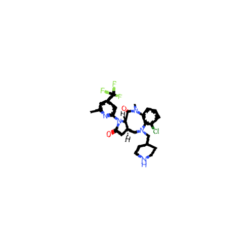 Cc1cc(C(F)(F)F)cc(N2C(=O)C[C@@H]3CN(CC4CCNCC4)c4c(Cl)cccc4N(C)C(=O)[C@H]32)n1